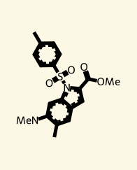 CNc1cc2c(cc1C)cc(C(=O)OC)n2S(=O)(=O)c1ccc(C)cc1